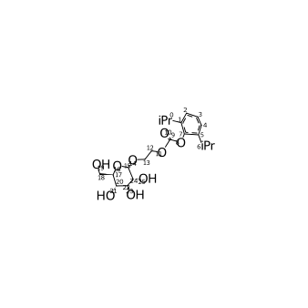 CC(C)c1cccc(C(C)C)c1OC(=O)OCCOC1O[C@H](CO)[C@@H](O)[C@H](O)[C@H]1O